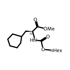 CCCCCCOC(=O)N[C@@H](CC1CCCCC1)C(=O)OC